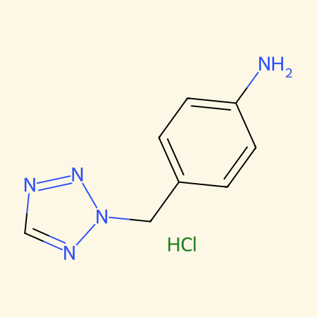 Cl.Nc1ccc(Cn2ncnn2)cc1